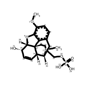 COc1ccc2c3c1O[C@H]1[C@@H](O)C=C[C@H]4[C@@H](C2)[N+](C)(COP(=O)(O)O)CC[C@@]341